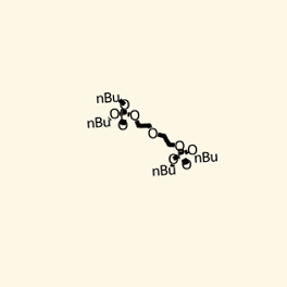 CCCCOP(=O)(OCCCC)OCCOCCOP(=O)(OCCCC)OCCCC